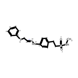 CNS(=O)(=O)CCc1ccc(N/N=C/CSc2ccccc2)cc1